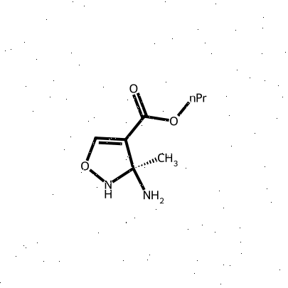 CCCOC(=O)C1=CON[C@]1(C)N